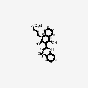 CCOC(=O)CCCn1c(=O)c(C2=NS(=O)(=O)c3ccccc3N2)c(O)c2ccccc21